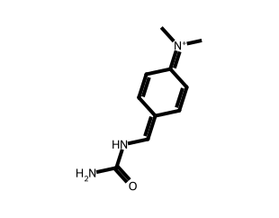 C[N+](C)=C1C=CC(=CNC(N)=O)C=C1